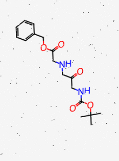 CC(C)(C)OC(=O)NCC(=O)CNCC(=O)OCc1ccccc1